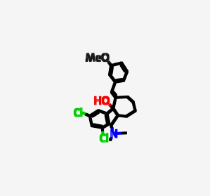 COc1cccc(C=C2CCCCC(CN(C)C)C2(O)c2cc(Cl)cc(Cl)c2)c1